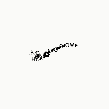 COCCOCCOCCOc1ccc(C[C@H](CO)NC(=O)OC(C)(C)C)cc1